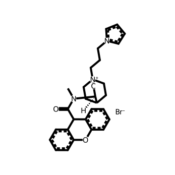 CN(C(=O)C1c2ccccc2Oc2ccccc21)[C@H]1C[N+]2(CCCn3cccc3)CCC1CC2.[Br-]